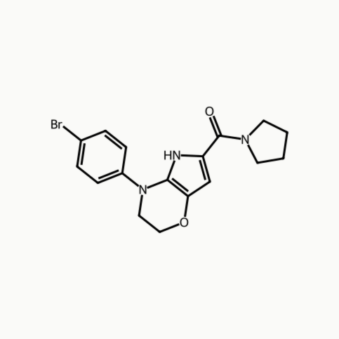 O=C(c1cc2c([nH]1)N(c1ccc(Br)cc1)CCO2)N1CCCC1